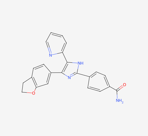 NC(=O)c1ccc(-c2nc(-c3ccc4c(c3)OCC4)c(-c3ccccn3)[nH]2)cc1